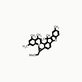 COCC1C2c3ccc4c(c3-c3cc(C)c5c(C)cc(C)cc5[n+]3C12)C(C)(C)c1c-4oc2ccc(C)cc12